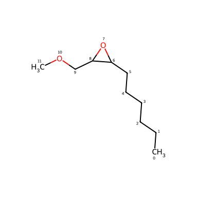 CCCCCCC1OC1COC